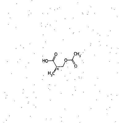 CC(=O)OC[C@@H](C)C(=O)O